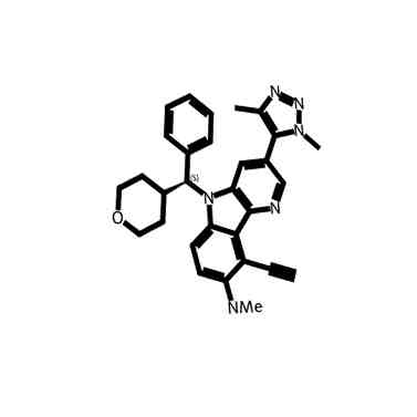 C#Cc1c(NC)ccc2c1c1ncc(-c3c(C)nnn3C)cc1n2[C@H](c1ccccc1)C1CCOCC1